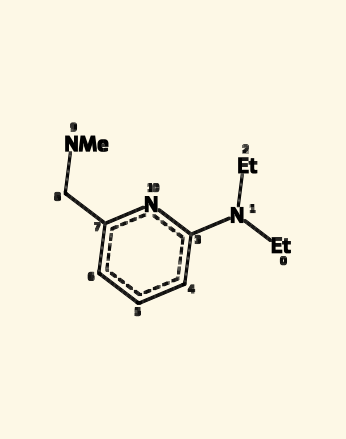 CCN(CC)c1cccc(CNC)n1